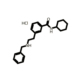 Cl.O=C(NC1CCCCC1)c1cccc(CCNCc2ccccc2)c1